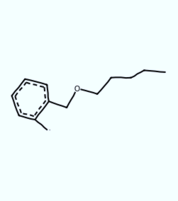 [CH2]c1ccccc1COCCCCC